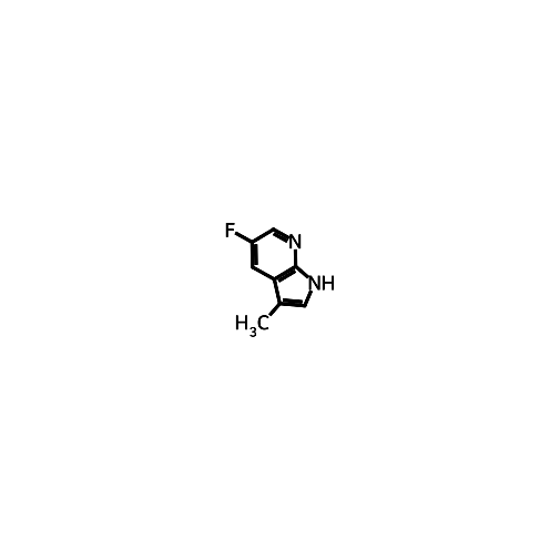 Cc1c[nH]c2ncc(F)cc12